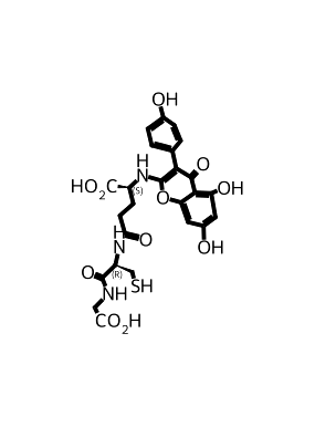 O=C(O)CNC(=O)[C@H](CS)NC(=O)CC[C@H](Nc1oc2cc(O)cc(O)c2c(=O)c1-c1ccc(O)cc1)C(=O)O